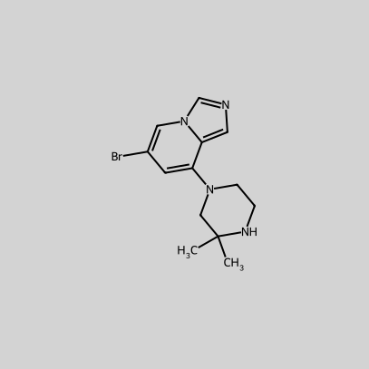 CC1(C)CN(c2cc(Br)cn3cncc23)CCN1